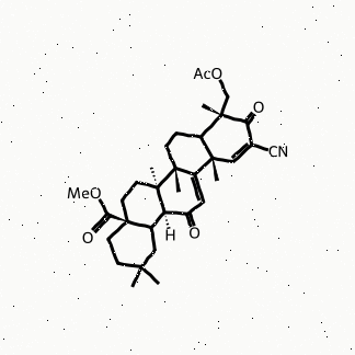 COC(=O)[C@]12CCC(C)(C)CC1[C@@H]1C(=O)C=C3[C@@]4(C)C=C(C#N)C(=O)[C@@](C)(COC(C)=O)C4CC[C@@]3(C)[C@]1(C)CC2